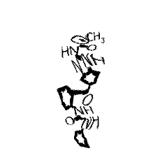 COC(=O)Nc1nc2cc(C(=O)c3ccccc3NC(=O)Nc3ccccc3)ccc2[nH]1